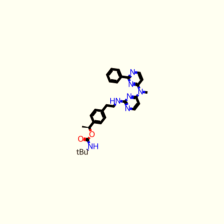 C[C@H](OC(=O)NC(C)(C)C)c1ccc(CCNc2nccc(N(C)c3ccnc(-c4ccccc4)n3)n2)cc1